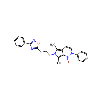 Cc1c2c(c(C)n1CCCc1nc(-c3ccccc3)no1)[NH+]([O-])N(c1ccccc1)C=C2